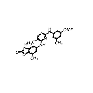 COc1cc(C)cc(Nc2ncc(C)c(Nc3cc(C)c4oc(=O)[nH]c4c3)n2)c1